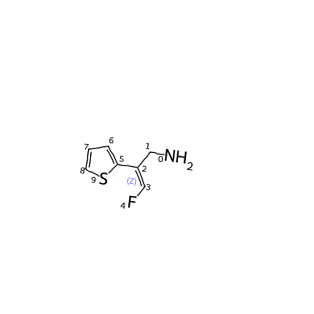 NC/C(=C/F)c1cccs1